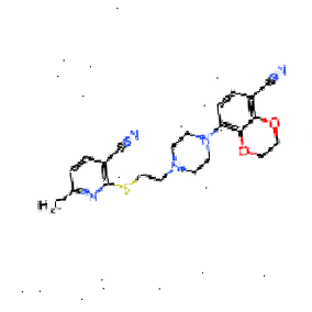 Cc1ccc(C#N)c(SCCN2CCN(c3ccc(C#N)c4c3OCCO4)CC2)n1